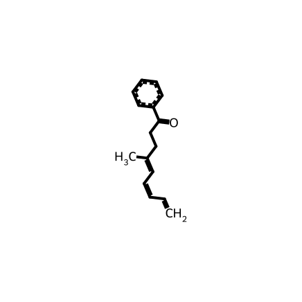 C=C/C=C\C=C(/C)CCC(=O)c1ccccc1